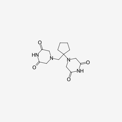 O=C1CN(CC2(N3CC(=O)NC(=O)C3)CCCC2)CC(=O)N1